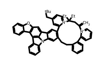 C=C1CC(CC)(CC)[n+]2ccc(CC(C)(C)C)cc2-c2cc3c4cc5oc6ccccc6c5c5c6ccccc6n(c3cc2CCc2ccccc2-c2cccc[n+]21)c45